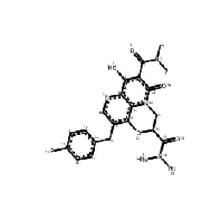 CN(C)C(=O)c1c(O)c2ncc(Cc3ccc(F)cc3)c3c2n(c1=O)CC(C(=O)[N]([Rb])[RaH])O3